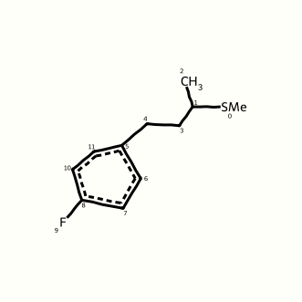 CSC(C)CCc1ccc(F)cc1